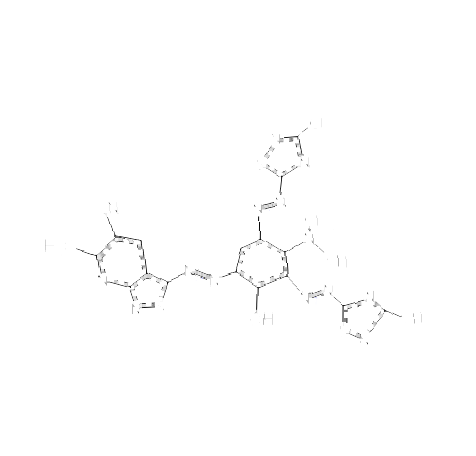 Cc1nsc(/N=N/c2cc(/N=N/c3snc4nc(C)c(C#N)cc34)c(O)c(/N=N/c3nc(C)ns3)c2N(C)C)n1